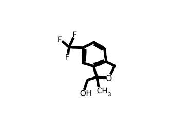 CC1(CO)OCc2ccc(C(F)(F)F)cc21